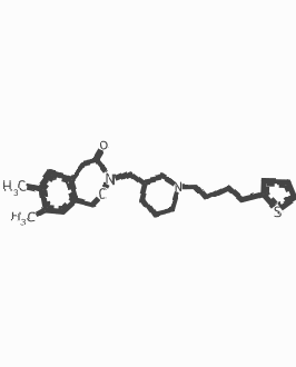 Cc1cc2c(cc1C)CC(=O)N(CC1CCCN(CCCCc3cccs3)C1)CC2